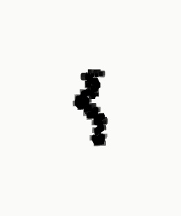 CNC(=O)c1ccc2nnc(Cc3cccc(-c4ncc(-c5cnn(CCN6CCCC6)c5)cn4)c3)n2n1